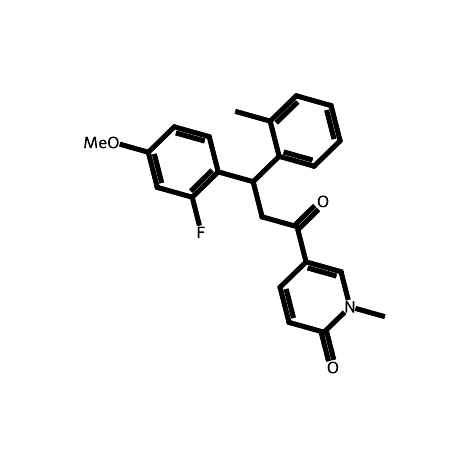 COc1ccc(C(CC(=O)c2ccc(=O)n(C)c2)c2ccccc2C)c(F)c1